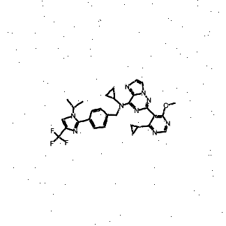 COc1ncnc(C2CC2)c1-c1nc(N(Cc2ccc(-c3nc(C(F)(F)F)cn3C(C)C)cc2)C2CC2)c2nccn2n1